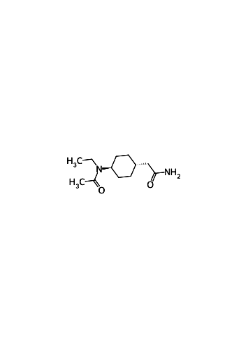 CCN(C(C)=O)[C@H]1CC[C@H](CC(N)=O)CC1